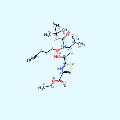 C#CCCCON(C(=O)OC(C)(C)C)[C@@H](C[C@H](O)c1nc(C(=O)OCC)cs1)C(C)C